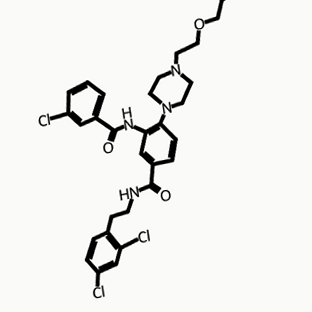 O=C(NCCc1ccc(Cl)cc1Cl)c1ccc(N2CCN(CCOCCO)CC2)c(NC(=O)c2cccc(Cl)c2)c1